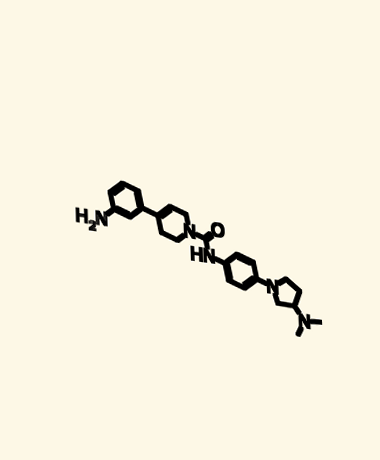 CN(C)C1CCN(c2ccc(NC(=O)N3CC=C(c4cccc(N)c4)CC3)cc2)C1